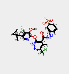 COc1c(Oc2nnc(C(F)(F)F)c(C)c2C(=O)Nc2cccc(S(C)(=O)=O)c2)ncc(C2(C)CC2)c1F